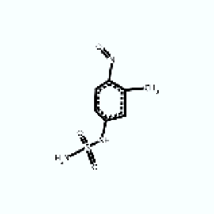 Cc1cc(NS(N)(=O)=O)ccc1N=O